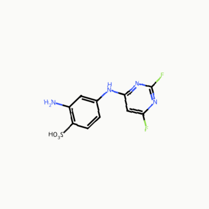 Nc1cc(Nc2cc(F)nc(F)n2)ccc1S(=O)(=O)O